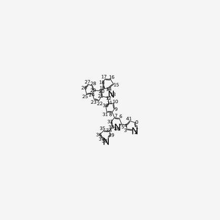 c1cncc(-c2cc(-c3ccc(-c4nc5ccccc5c5c4ccc4ccccc45)cc3)cc(-c3cccnc3)n2)c1